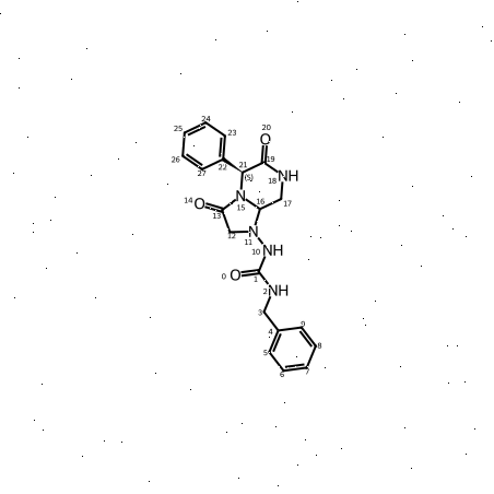 O=C(NCc1ccccc1)NN1CC(=O)N2C1CNC(=O)[C@@H]2c1ccccc1